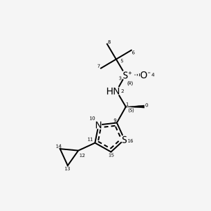 C[C@H](N[S@@+]([O-])C(C)(C)C)c1nc(C2CC2)cs1